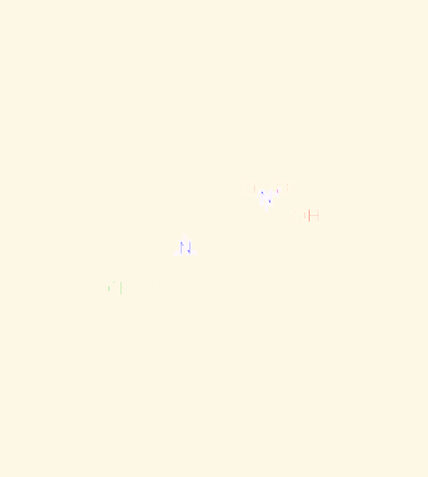 O=[N+]([O-])C(CO)CCC1CCN(c2ccc(Cl)cc2)CC1